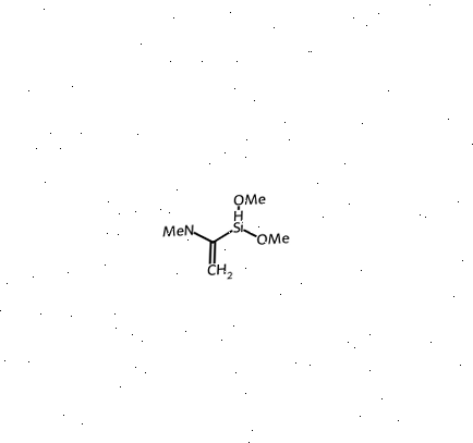 C=C(NC)[SiH](OC)OC